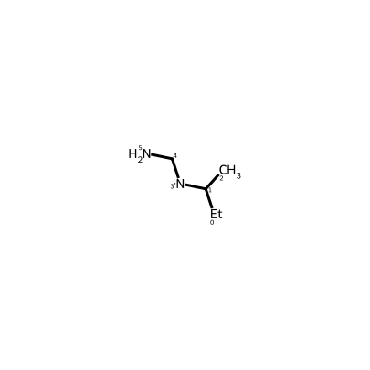 CCC(C)[N]CN